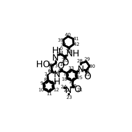 C[C@H](NC[C@@H](O)[C@H](Cc1ccccc1)NC(=O)c1cc(C(=O)N(C)C)cc(N2CCCC2=O)c1)C(=O)NC1CCCCC1